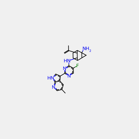 C=C(C)C1C(Nc2nc(-c3c[nH]c4ncc(C)cc34)ncc2F)C2CCC1C1(N)CC21